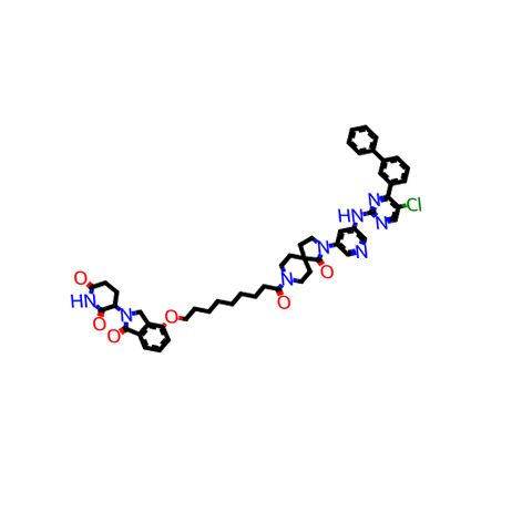 O=C1CCC(N2Cc3c(OCCCCCCCCC(=O)N4CCC5(CC4)CCN(c4cncc(Nc6ncc(Cl)c(-c7cccc(-c8ccccc8)c7)n6)c4)C5=O)cccc3C2=O)C(=O)N1